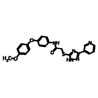 COc1ccc(Oc2ccc(NC(=O)CSc3nc(-c4cccnc4)n[nH]3)cc2)cc1